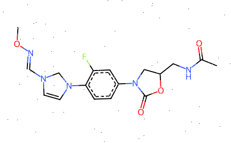 CON=CN1C=CN(c2ccc(N3CC(CNC(C)=O)OC3=O)cc2F)C1